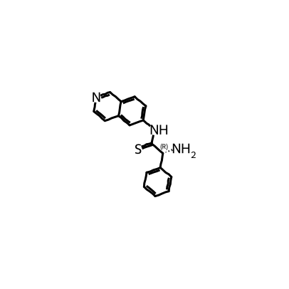 N[C@@H](C(=S)Nc1ccc2cnccc2c1)c1ccccc1